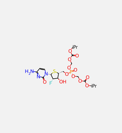 CC(C)OC(=O)OCOP(=O)(OCOC(=O)OC(C)C)OC[C@H]1S[C@@H](n2ccc(N)nc2=O)[C@@H](F)[C@@H]1O